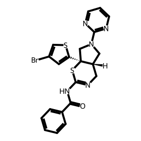 O=C(NC1=NC[C@H]2CN(c3ncccn3)C[C@]2(c2cc(Br)cs2)S1)c1ccccc1